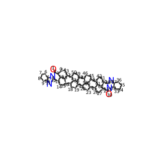 C=c1c(=O)n2c3ccccc3nc2c2ccc3c4ccc5c6ccc7c8ccc9c(=O)n%10c%11ccccc%11nc%10c%10ccc(c%11ccc(c%12ccc(/c(=C/C)c3c12)c4c%125)c6c%117)c8c9%10